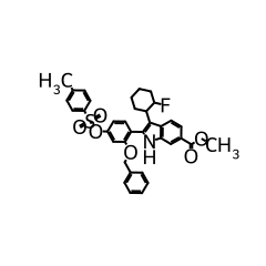 COC(=O)c1ccc2c(C3CCCCC3F)c(-c3ccc(OS(=O)(=O)c4ccc(C)cc4)cc3OCc3ccccc3)[nH]c2c1